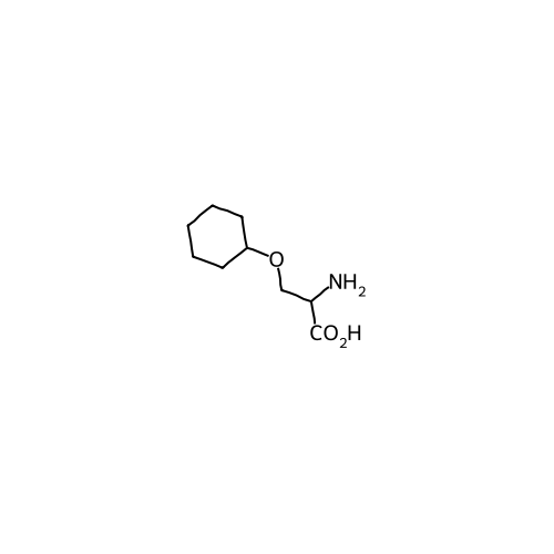 NC(COC1CCCCC1)C(=O)O